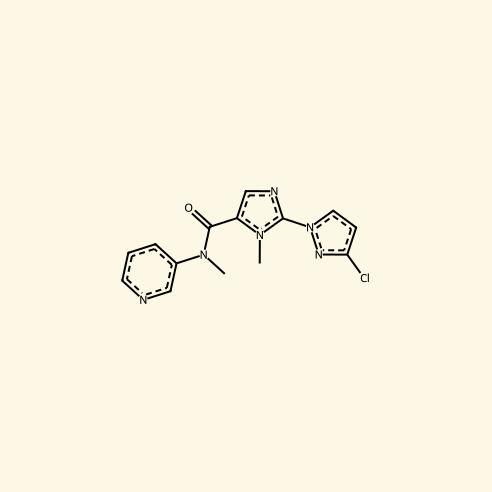 CN(C(=O)c1cnc(-n2ccc(Cl)n2)n1C)c1cccnc1